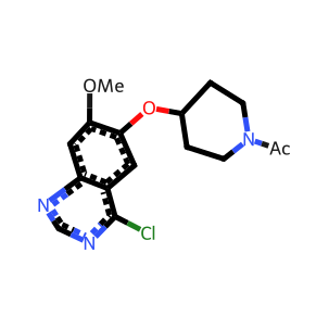 COc1cc2ncnc(Cl)c2cc1OC1CCN(C(C)=O)CC1